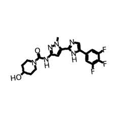 Cn1nc(NC(=O)N2CCC(O)CC2)cc1-c1ncc(-c2cc(F)c(F)c(F)c2)[nH]1